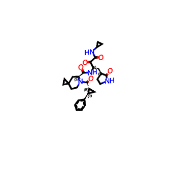 O=C(NC1CC1)C(=O)[C@H](C[C@@H]1CCNC1=O)NC(=O)[C@@H]1CC2(CCN1C(=O)[C@@H]1C[C@H]1c1ccccc1)CC2